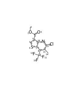 COC(=O)c1csc2c(C(F)(F)F)c(C)c(Cl)nc12